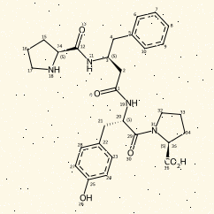 O=C(C[C@H](Cc1ccccc1)NC(=O)[C@@H]1CCCN1)N[C@@H](Cc1ccc(O)cc1)C(=O)N1CCC[C@H]1C(=O)O